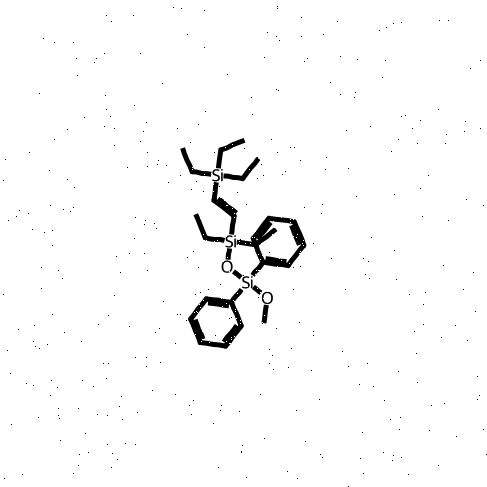 CC[Si](C=C[Si](CC)(CC)O[Si](OC)(c1ccccc1)c1ccccc1)(CC)CC